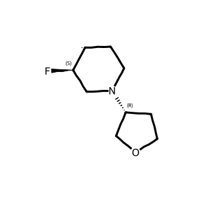 F[C@H]1[CH]CCN([C@@H]2CCOC2)C1